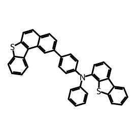 c1ccc(N(c2ccc(-c3ccc4ccc5sc6ccccc6c5c4c3)cc2)c2cccc3c2sc2ccccc23)cc1